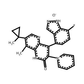 Cc1c(C2(C)CC2)cnc2c(-c3ccc(F)c4[nH]ncc34)c(-[n+]3ccccc3)c(=O)[nH]c12.[Cl-]